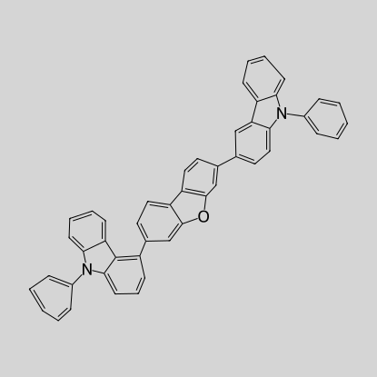 c1ccc(-n2c3ccccc3c3cc(-c4ccc5c(c4)oc4cc(-c6cccc7c6c6ccccc6n7-c6ccccc6)ccc45)ccc32)cc1